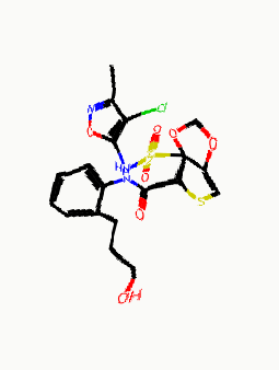 Cc1noc(NS(=O)(=O)C23OCOC2=CSC3C(=O)Nc2ccccc2CCCO)c1Cl